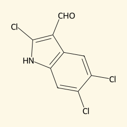 O=Cc1c(Cl)[nH]c2cc(Cl)c(Cl)cc12